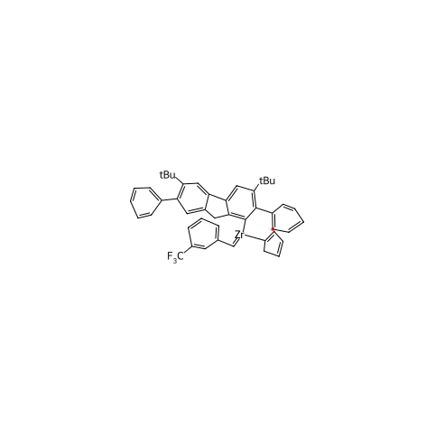 CC(C)(C)c1cc2c(cc1-c1ccccc1)Cc1c-2cc(C(C)(C)C)c(-c2ccccc2)[c]1/[Zr](=[CH]\c1cccc(C(F)(F)F)c1)[C]1=CC=CC1